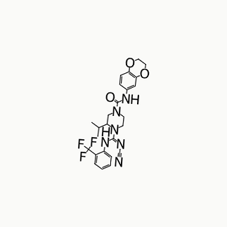 CC(C)C1CN(C(=O)Nc2ccc3c(c2)OCCO3)CCN1/C(=N/C#N)Nc1ccccc1C(F)(F)F